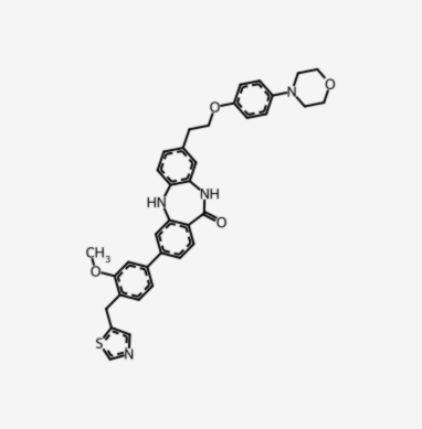 COc1cc(-c2ccc3c(c2)Nc2ccc(CCOc4ccc(N5CCOCC5)cc4)cc2NC3=O)ccc1Cc1cncs1